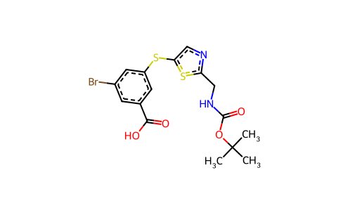 CC(C)(C)OC(=O)NCc1ncc(Sc2cc(Br)cc(C(=O)O)c2)s1